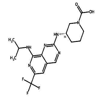 CC(C)Nc1nc(C(F)(F)F)cc2cnc(N[C@H]3CCCN(C(=O)O)C3)nc12